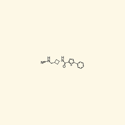 N#CNC[C@H]1C[C@H](NC(=O)c2ccc(-c3ccccc3)s2)C1